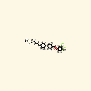 C=CCCC[C@H]1CC[C@H](C2CCC(COc3ccc(F)c(F)c3)CC2)CC1